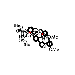 COc1ccc(CN(Cc2ccc(OC)cc2)S(=O)(=O)c2c(S(=O)(=O)NC(CNC(=O)OC(C)(C)C)CNC(=O)OC(C)(C)C)ccc(-c3ccnc(Cl)c3)c2-c2nnn(Cc3ccc(OC)cc3)n2)cc1